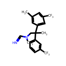 Cc1cc(C(F)(F)F)cc(C(C)(CN(C)C=N)c2cccc(C(F)(F)F)c2)c1